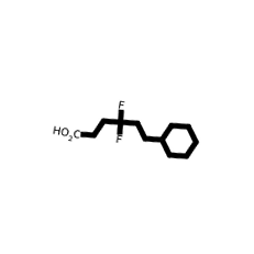 O=C(O)CCC(F)(F)CCC1CCCCC1